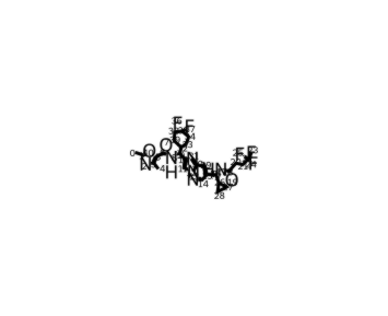 Cc1nc(C)c(C(=O)N[C@H](c2cn3ncc([C@H](NC(=O)CCC(F)(F)F)C4CC4)cc3n2)C2CCC(F)(F)CC2)o1